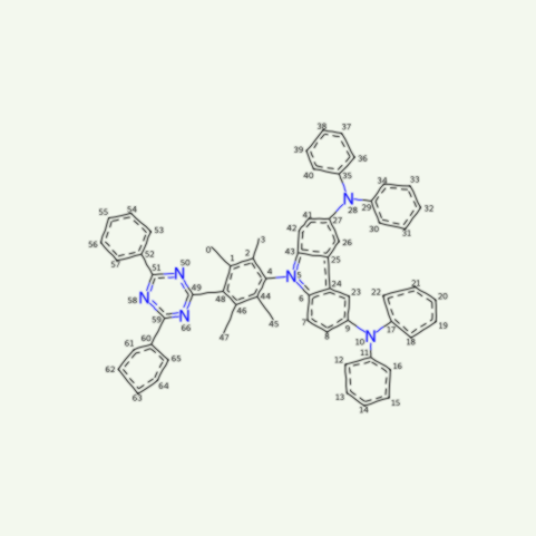 Cc1c(C)c(-n2c3ccc(N(c4ccccc4)c4ccccc4)cc3c3cc(N(c4ccccc4)c4ccccc4)ccc32)c(C)c(C)c1-c1nc(-c2ccccc2)nc(-c2ccccc2)n1